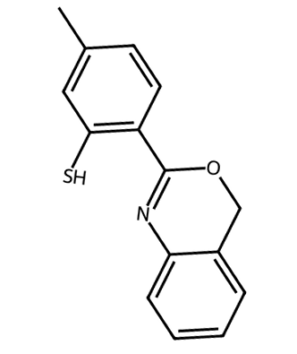 Cc1ccc(C2=Nc3ccccc3CO2)c(S)c1